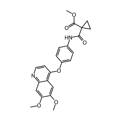 COC(=O)C1(C(=O)Nc2ccc(Oc3ccnc4cc(OC)c(OC)cc34)cc2)CC1